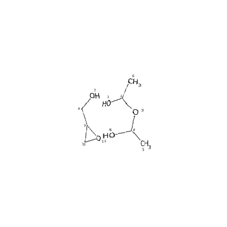 CC(O)OC(C)O.OCC1CO1